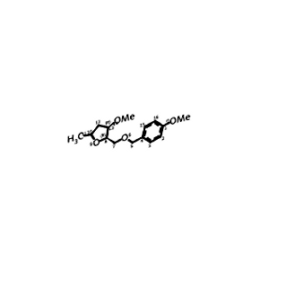 COc1ccc(COC[C@H]2OC(C)C[C@H]2OC)cc1